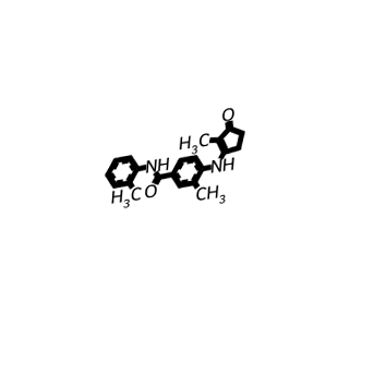 CC1=C(Nc2ccc(C(=O)Nc3ccccc3C)cc2C)CCC1=O